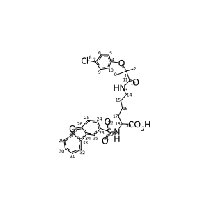 CC(C)(Oc1ccc(Cl)cc1)C(=O)NCCCCC(NS(=O)(=O)c1ccc2oc3ccccc3c2c1)C(=O)O